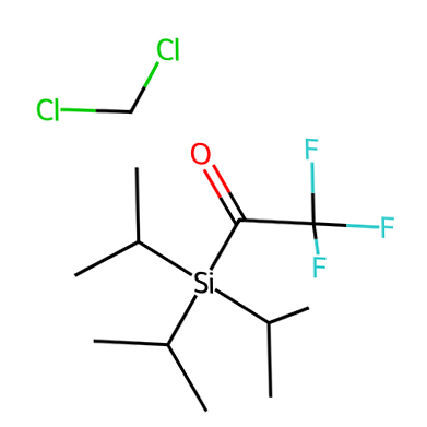 CC(C)[Si](C(=O)C(F)(F)F)(C(C)C)C(C)C.ClCCl